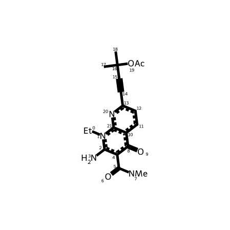 CCn1c(N)c(C(=O)NC)c(=O)c2ccc(C#CC(C)(C)OC(C)=O)nc21